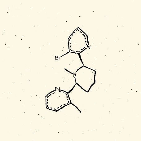 Cc1cccnc1[C@@H]1CCC[C@H](c2ncccc2Br)N1C